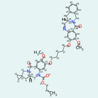 C=CCOC(=O)N1C[C@@H]2CC3(CC3)CN2C(=O)c2cc(OC)c(OCCCCCOc3cc4c(cc3OC)C(=O)N3Cc5ccccc5C[C@H]3C=N4)cc21